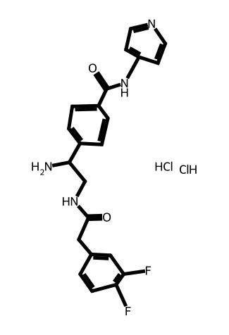 Cl.Cl.NC(CNC(=O)Cc1ccc(F)c(F)c1)c1ccc(C(=O)Nc2ccncc2)cc1